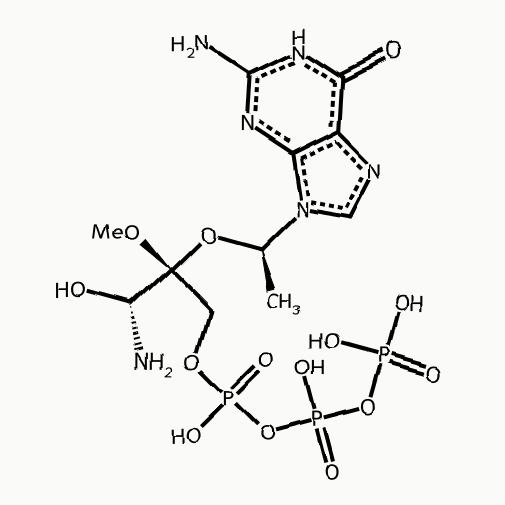 CO[C@](COP(=O)(O)OP(=O)(O)OP(=O)(O)O)(O[C@H](C)n1cnc2c(=O)[nH]c(N)nc21)[C@H](N)O